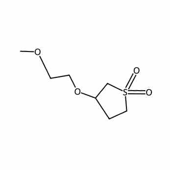 COCCOC1CCS(=O)(=O)C1